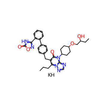 CCCc1c(Cc2ccc(-c3ccccc3-c3noc(=O)[nH]3)cc2)c(=O)n(C2CCC(OCC(O)CC)CC2)c2ncnn12.[KH]